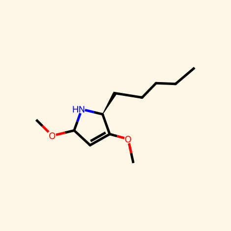 CCCCC[C@@H]1NC(OC)C=C1OC